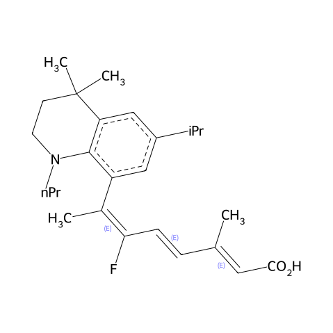 CCCN1CCC(C)(C)c2cc(C(C)C)cc(\C(C)=C(F)/C=C/C(C)=C/C(=O)O)c21